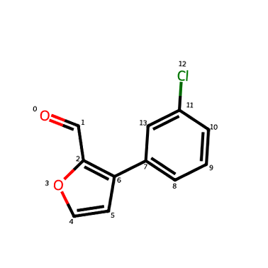 O=Cc1occc1-c1cccc(Cl)c1